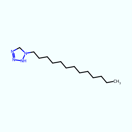 CCCCCCCCCCCCCN1CN=NN1